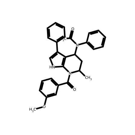 COc1cccc(C(=O)N2c3[nH]cc(-c4ccccc4)c3C(N(C(C)=O)c3ccccc3)CC2C)c1